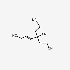 N#CC/C=C/C(C#N)(CCC#N)CCC#N